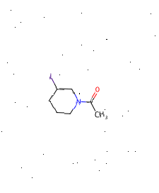 CC(=O)N1CCCC(I)C1